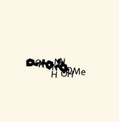 COc1cc2ncnc(Nc3ccc(C(C)=NOCc4ccccc4)cc3)c2cc1O